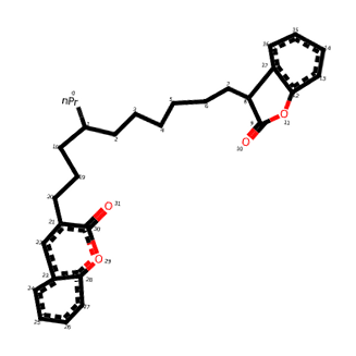 CCCC(CCCCCCC1C(=O)Oc2ccccc21)CCCc1cc2ccccc2oc1=O